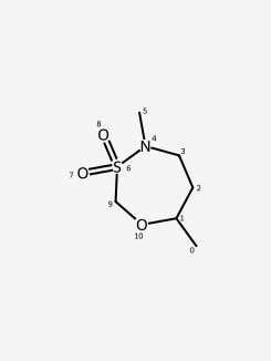 CC1CCN(C)S(=O)(=O)CO1